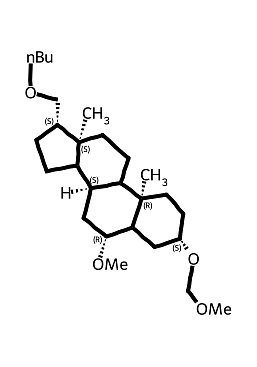 CCCCOC[C@H]1CCC2[C@@H]3C[C@@H](OC)C4C[C@@H](OCOC)CC[C@]4(C)C3CC[C@@]21C